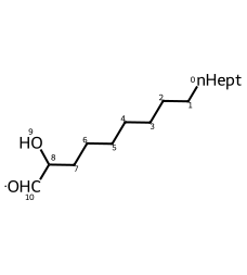 CCCCCCCCCCCCCCC(O)[C]=O